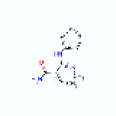 C/C=C(C(N)=O)\C(=N/C)Nc1ccccc1